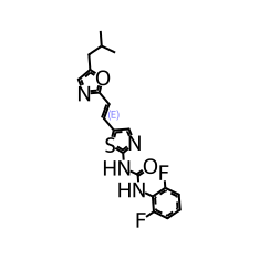 CC(C)Cc1cnc(/C=C/c2cnc(NC(=O)Nc3c(F)cccc3F)s2)o1